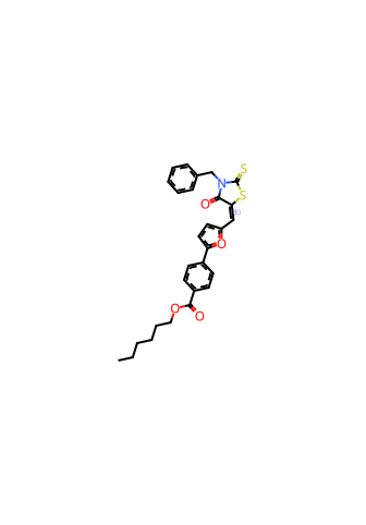 CCCCCCOC(=O)c1ccc(-c2ccc(/C=C3/SC(=S)N(Cc4ccccc4)C3=O)o2)cc1